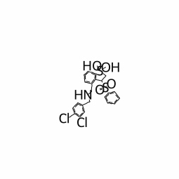 O=S(=O)(c1ccccc1)C1CS(O)(O)c2cccc(CNCc3ccc(Cl)c(Cl)c3)c21